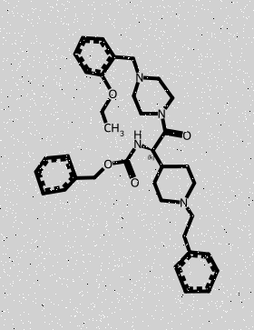 CCOc1ccccc1CN1CCN(C(=O)[C@H](NC(=O)OCc2ccccc2)C2CCN(CCc3ccccc3)CC2)CC1